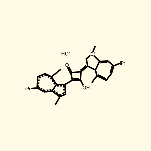 CC1=CC=C(C(C)C)C=C2[C+](C)CC(=C3C(=O)C(c4cc(C)c5cc(C(C)C)ccc(C)c4-5)=C3O)C12.[OH-]